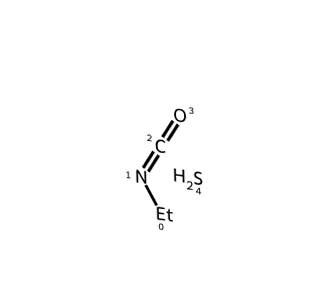 CCN=C=O.S